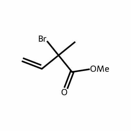 C=CC(C)(Br)C(=O)OC